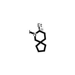 CC[C@H]1CCC2(CCCC2)CN1I